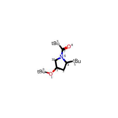 CC(C)(C)OC1CC(C(C)(C)C)N(C(=O)C(C)(C)C)C1